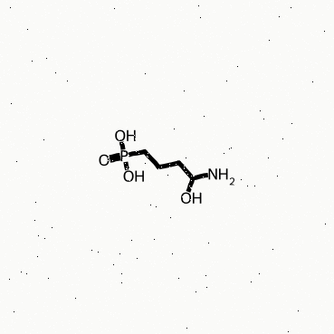 NC(O)CCCP(=O)(O)O